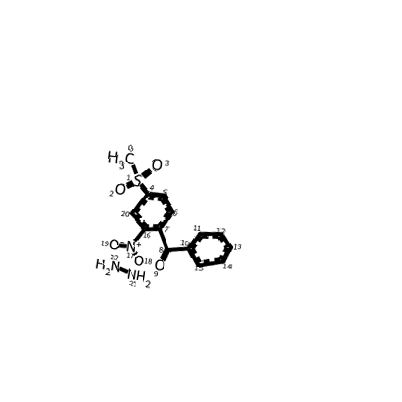 CS(=O)(=O)c1ccc(C(=O)c2ccccc2)c([N+](=O)[O-])c1.NN